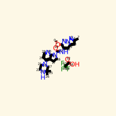 COc1nn2nc(C)cc2cc1NC(=O)N1CCc2c(N3CCNC(C)(C)C3)ccnc21.O=C(O)C(F)(F)F